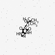 CC(C)(C)C(=O)OCn1c(=O)[nH]c2nc[nH]c2c1=O